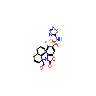 O=CC1(n2c(=O)oc3cc(S(=O)(=O)Nc4ncns4)c(F)cc32)C=CCc2ccccc21